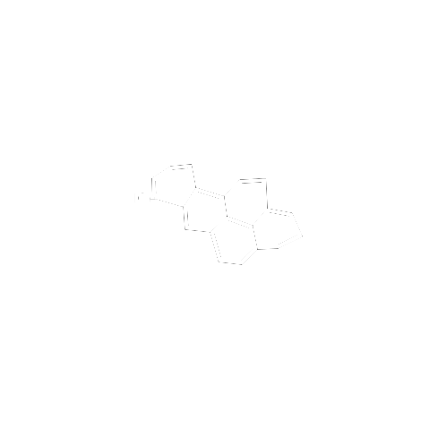 C1=Cc2[c](cc3ccc4cccc5ccc2c3c45)[GeH]=[CH]1